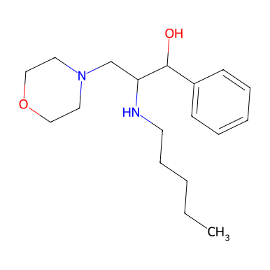 CCCCCNC(CN1CCOCC1)C(O)c1ccccc1